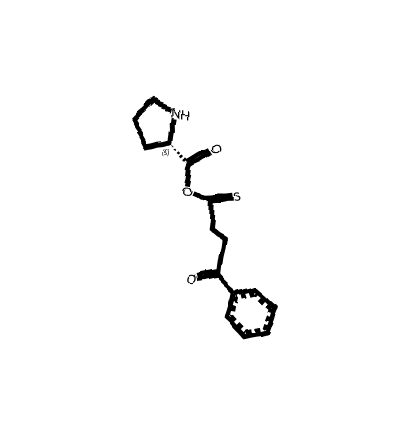 O=C(CCC(=S)OC(=O)[C@@H]1CCCN1)c1ccccc1